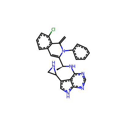 C=C1c2c(Cl)cccc2C=C([C@H](C)Nc2ncnc3[nH]cc(C4CN4)c23)N1c1ccccc1